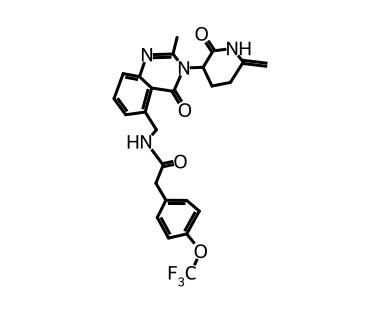 C=C1CCC(n2c(C)nc3cccc(CNC(=O)Cc4ccc(OC(F)(F)F)cc4)c3c2=O)C(=O)N1